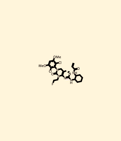 C=CC(=O)NC1CCCCC1N/C(N=C)=N/C1=C(C)CN(c2c(Cl)c(OC)cc(OC)c2Cl)C(=O)N1CCF